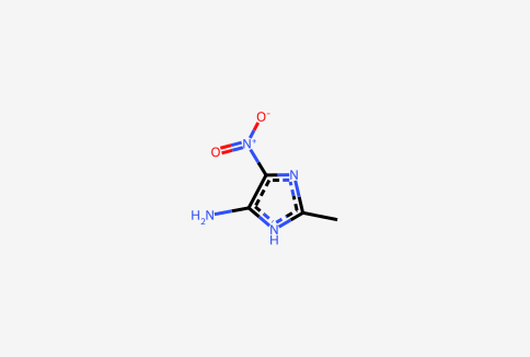 Cc1nc([N+](=O)[O-])c(N)[nH]1